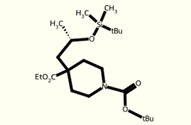 CCOC(=O)C1(C[C@H](C)O[Si](C)(C)C(C)(C)C)CCN(C(=O)OC(C)(C)C)CC1